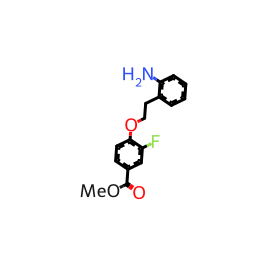 COC(=O)c1ccc(OCCc2ccccc2N)c(F)c1